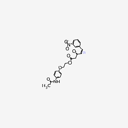 CC(=O)Nc1ccc(OCCOC(=O)CC(=O)/C=C\c2cccc([N+](=O)[O-])c2)cc1